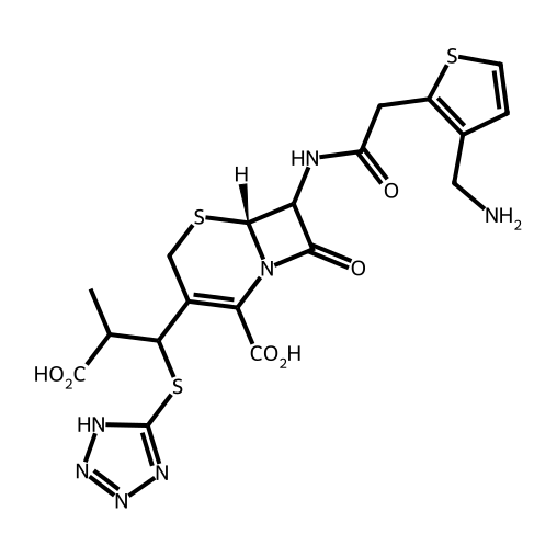 CC(C(=O)O)C(Sc1nnn[nH]1)C1=C(C(=O)O)N2C(=O)C(NC(=O)Cc3sccc3CN)[C@H]2SC1